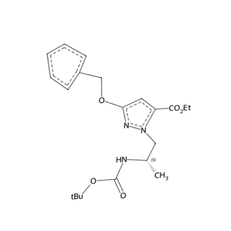 CCOC(=O)c1cc(OCc2ccccc2)nn1C[C@H](C)NC(=O)OC(C)(C)C